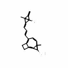 C=C1C2(C)/C(=C/C=C/C3=C4CCC4=C4C5(C)C(=C3)C45N)C12N